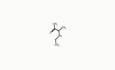 CCPC(C)C(C)=S